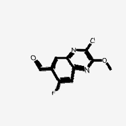 COc1nc2cc(F)c(C=O)cc2nc1Cl